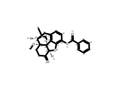 CO[C@@]12CCC(=O)[C@@H]3Oc4c(OC(=O)c5ccccc5)ccc5c4[C@@]31CCN(C)[C@@H]2C5